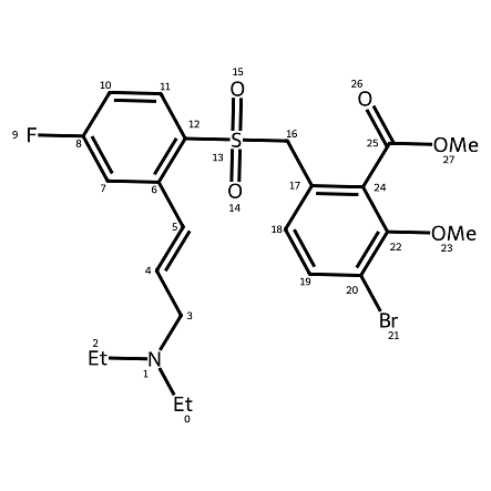 CCN(CC)CC=Cc1cc(F)ccc1S(=O)(=O)Cc1ccc(Br)c(OC)c1C(=O)OC